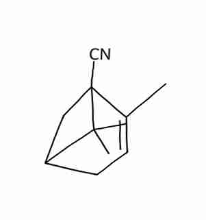 CC1=CCC2CC1(C#N)C2(C)C